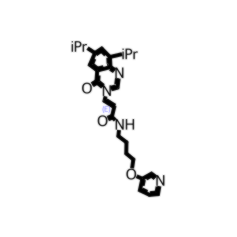 CC(C)c1cc(C(C)C)c2ncn(/C=C/C(=O)NCCCCOc3cccnc3)c(=O)c2c1